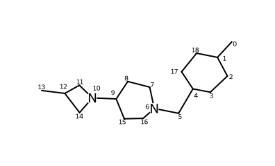 CC1CCC(CN2CCC(N3CC(C)C3)CC2)CC1